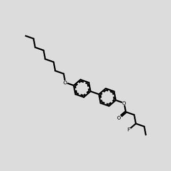 CCCCCCCCOc1ccc(-c2ccc(OC(=O)CC(F)CC)cc2)cc1